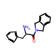 NC(Cc1ccccc1)C(=O)N1Cc2ccccc2C1